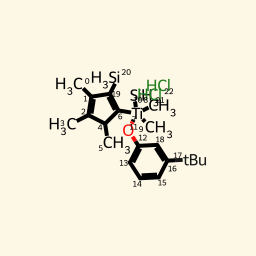 CC1=C(C)C(C)[C]([Ti]([CH3])([CH3])([SiH3])[O]c2cccc(C(C)(C)C)c2)=C1[SiH3].Cl.Cl